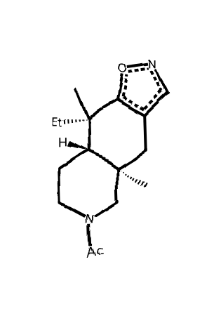 CC[C@]1(C)c2oncc2C[C@@]2(C)CN(C(C)=O)CC[C@@H]21